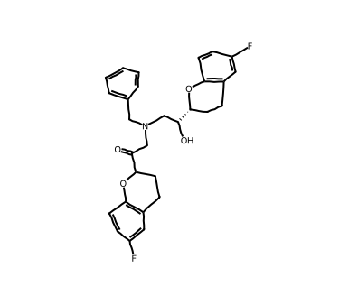 O=C(CN(Cc1ccccc1)CC(O)[C@H]1CCc2cc(F)ccc2O1)C1CCc2cc(F)ccc2O1